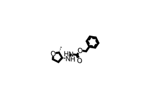 C[C@H]1OCC[C@H]1NNC(=O)OCc1ccccc1